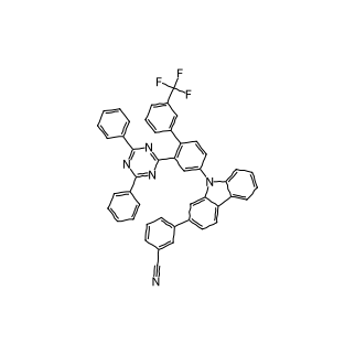 N#Cc1cccc(-c2ccc3c4ccccc4n(-c4ccc(-c5cccc(C(F)(F)F)c5)c(-c5nc(-c6ccccc6)nc(-c6ccccc6)n5)c4)c3c2)c1